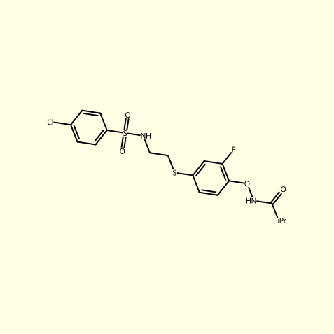 CC(C)C(=O)NOc1ccc(SCCNS(=O)(=O)c2ccc(Cl)cc2)cc1F